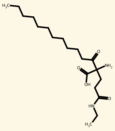 CCCCCCCCCCCC(=O)C(N)(CCC(=O)NCC)C(=O)O